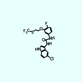 O=C(Nc1ccc(F)c(OCCSC(F)(F)F)c1)Nc1c[nH]c2ccc(Cl)cc12